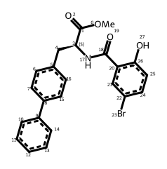 COC(=O)[C@H](Cc1ccc(-c2ccccc2)cc1)NC(=O)c1cc(Br)ccc1O